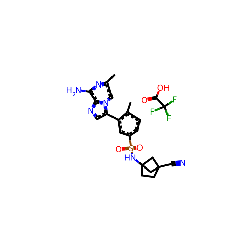 Cc1cn2c(-c3cc(S(=O)(=O)NC45CCC(C#N)(C4)C5)ccc3C)cnc2c(N)n1.O=C(O)C(F)(F)F